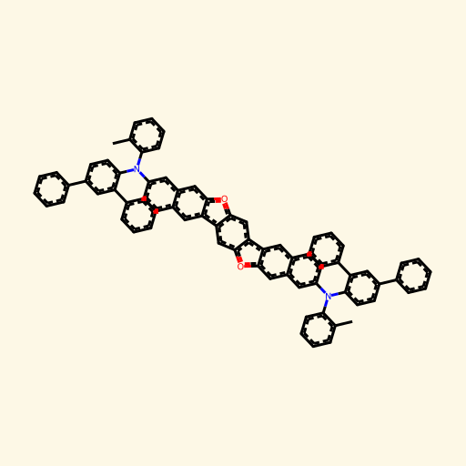 Cc1ccccc1N(c1ccc2cc3c(cc2c1)oc1cc2c(cc13)oc1cc3cc(N(c4ccccc4C)c4ccc(-c5ccccc5)cc4-c4ccccc4)ccc3cc12)c1ccc(-c2ccccc2)cc1-c1ccccc1